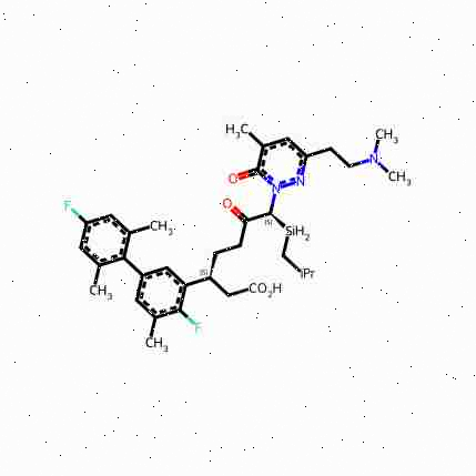 Cc1cc(-c2c(C)cc(F)cc2C)cc([C@@H](CCC(=O)[C@H]([SiH2]CC(C)C)n2nc(CCN(C)C)cc(C)c2=O)CC(=O)O)c1F